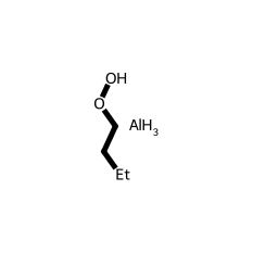 CCCCOO.[AlH3]